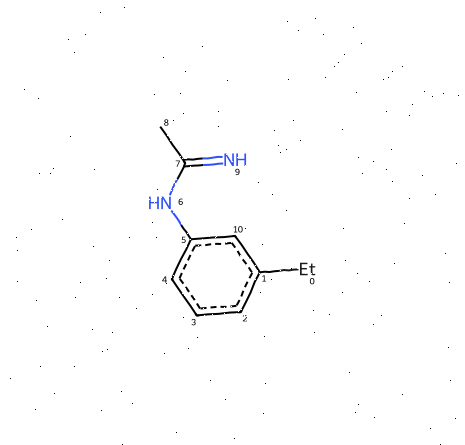 CCc1cccc(NC(C)=N)c1